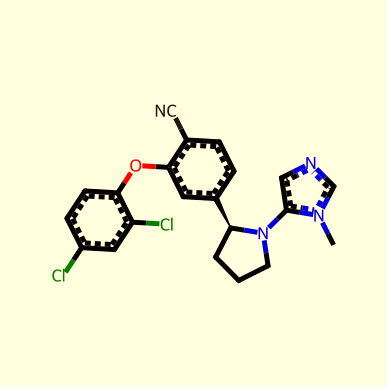 Cn1cncc1N1CCC[C@H]1c1ccc(C#N)c(Oc2ccc(Cl)cc2Cl)c1